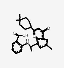 Cc1cc(C(C)Nc2ccccc2C(=O)O)c2oc(C3CCC(C)(C)CC3)cc(=O)c2c1